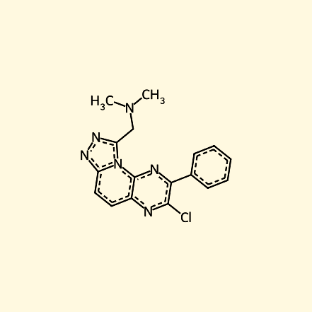 CN(C)Cc1nnc2ccc3nc(Cl)c(-c4ccccc4)nc3n12